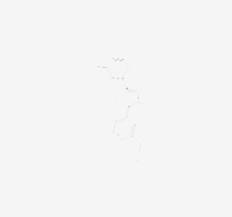 Cc1cccc(-c2nnc(-c3cccc(CO)c3)o2)c1